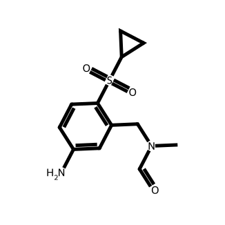 CN(C=O)Cc1cc(N)ccc1S(=O)(=O)C1CC1